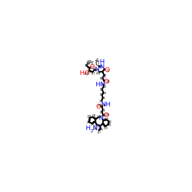 C=C=C1NC(=O)C(/C=C/C(=O)NCCCCCCNC(=O)CCC(=O)N2Cc3ccccc3/C(N)=C(/C=C)c3ccccc32)CN1C1CC(O)C(CC(C)C)O1